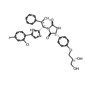 C[C@H](c1ccccc1)[C@@H](c1ncc(-c2ccc(I)cc2Cl)[nH]1)N1C(=O)N[C@H](c2ccc(OC[C@H](O)CO)cc2)C1=O